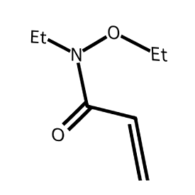 C=CC(=O)N(CC)OCC